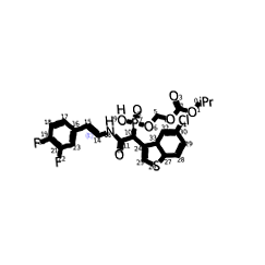 CC(C)OC(=O)OCOP(=O)(O)C(C(=O)N/C=C/c1ccc(F)c(F)c1)C1=CSC2C=CC(Cl)=CC12